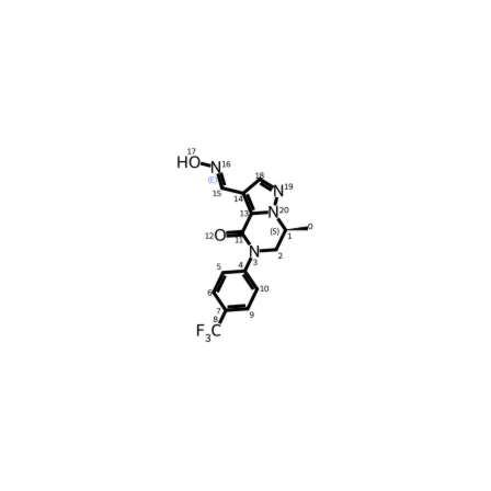 C[C@H]1CN(c2ccc(C(F)(F)F)cc2)C(=O)c2c(/C=N/O)cnn21